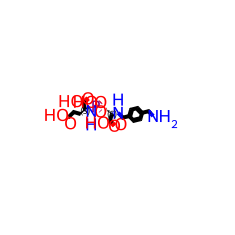 NCc1ccc(C(=O)N[C@@H](COP(=O)(O)N[C@@H](CCC(=O)O)C(=O)O)C(=O)O)cc1